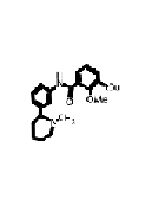 COc1c(C(=O)Nc2cccc(C3CCCCN3C)c2)cccc1C(C)(C)C